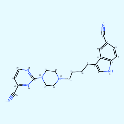 N#Cc1ccc2[nH]cc(CCCCN3CCN(c4nccc(C#N)n4)CC3)c2c1